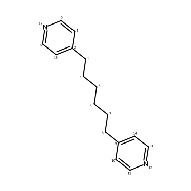 c1cc(CCCCCCc2ccncc2)ccn1